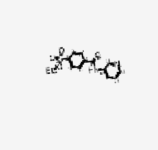 CCOS(=O)(=O)c1ccc(C(=O)Nc2cccnc2)cc1